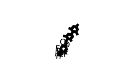 Cc1cc(C)c(-c2cc(C)c(C(=O)Oc3cc(F)c(S(F)(F)(F)(F)F)c(F)c3)c(C)c2)c(C)c1